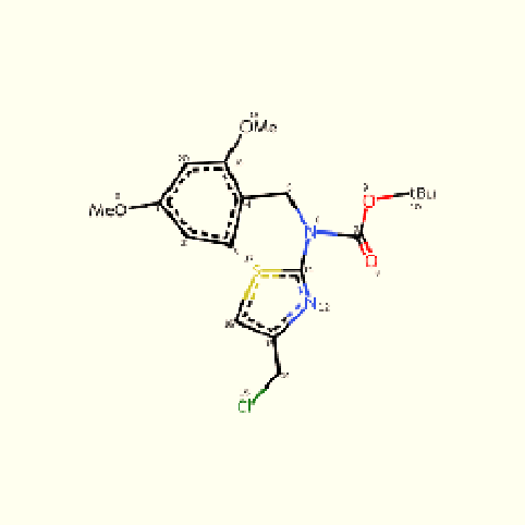 COc1ccc(CN(C(=O)OC(C)(C)C)c2nc(CCl)cs2)c(OC)c1